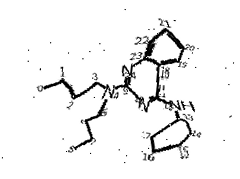 CCCCN(CCCC)c1nc(NC2CCCC2)c2ccccc2n1